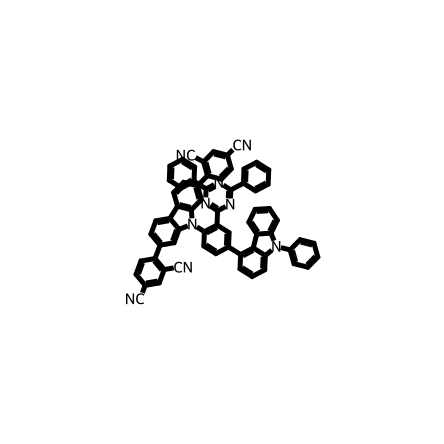 N#Cc1ccc(-c2ccc3c4ccc(-c5ccc(C#N)cc5C#N)cc4n(-c4ccc(-c5cccc6c5c5ccccc5n6-c5ccccc5)cc4-c4nc(-c5ccccc5)nc(-c5ccccc5)n4)c3c2)c(C#N)c1